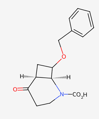 O=C1CCN(C(=O)O)[C@@H]2C(OCc3ccccc3)C[C@H]12